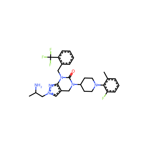 Cc1cccc(F)c1N1CCC(N2Cc3cn(CC(C)N)nc3N(Cc3ccccc3C(F)(F)F)C2=O)CC1